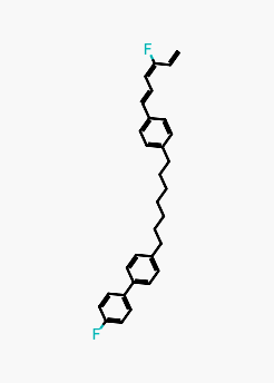 C=C/C(F)=C\C=C\c1ccc(CCCCCCCc2ccc(-c3ccc(F)cc3)cc2)cc1